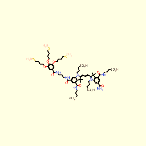 BSCCCCOc1cc(C(=O)NCCCNC(=O)c2cc(C(=O)NCCCS(=O)(=O)O)c3c(c2)N(CCCS(=O)(=O)O)/C(=C/C=C/C2=[N+](CCCS(=O)(=O)O)c4cc(C(N)=O)cc(C(=O)NCCCS(=O)(=O)O)c4C2(C)C)C3(C)C)cc(OCCCCSB)c1OCCCCSB